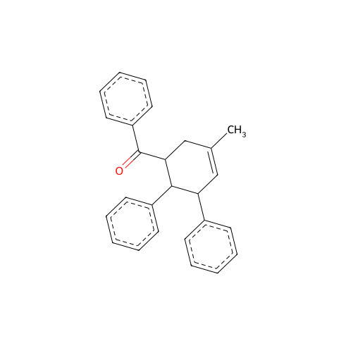 CC1=CC(c2ccccc2)C(c2ccccc2)C(C(=O)c2ccccc2)C1